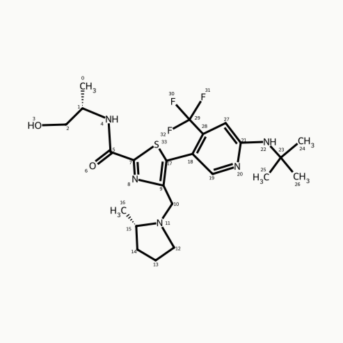 C[C@@H](CO)NC(=O)c1nc(CN2CCC[C@@H]2C)c(-c2cnc(NC(C)(C)C)cc2C(F)(F)F)s1